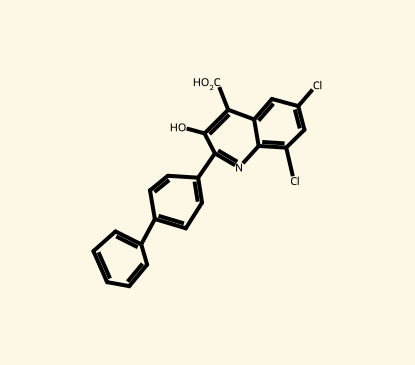 O=C(O)c1c(O)c(-c2ccc(-c3ccccc3)cc2)nc2c(Cl)cc(Cl)cc12